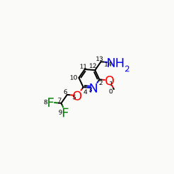 COc1nc(OCC(F)F)ccc1CN